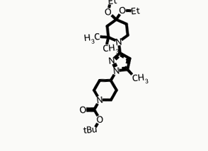 CCOC1(OCC)CCN(c2cc(C)n(C3CCN(C(=O)OC(C)(C)C)CC3)n2)C(C)(C)C1